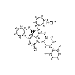 Cc1cccc(C)c1C1CCN(Cc2c(-c3ccccc3)n(Cc3ccccc3)c3ccc(Cl)cc23)CC1.Cl